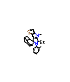 CCC1c2c(c3sccc3n2C)C2(C3CC4CC(C3)CC2C4)N1c1ccccc1C